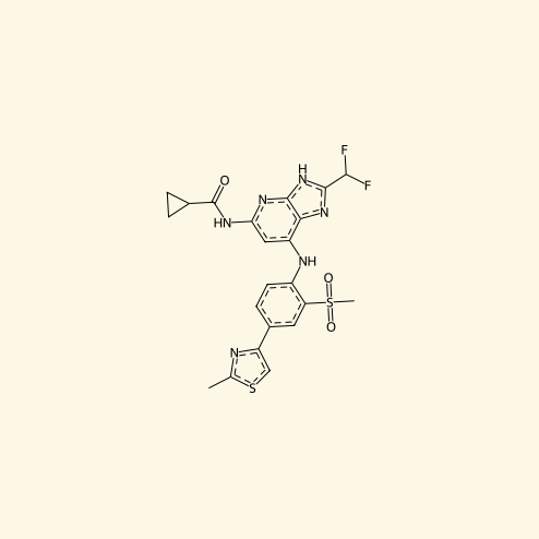 Cc1nc(-c2ccc(Nc3cc(NC(=O)C4CC4)nc4[nH]c(C(F)F)nc34)c(S(C)(=O)=O)c2)cs1